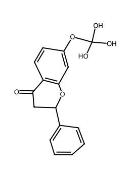 O=C1CC(c2ccccc2)Oc2cc(OC(O)(O)O)ccc21